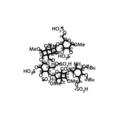 CCCCOC1C(COS(=O)(=O)O)OC(OC2C(OC)C3(CC)C(OC)C(OC4C(COS(=O)(=O)O)OC(OC5C(OC)C6(C(=O)O)[C@@H]7C(OC8C(COS(=O)(=O)O)OC(OC)C(OS(=O)(=O)O)C8OC)OC7C56CO)C(OS(=O)(=O)O)C4OS(=O)(=O)O)OC23C(=O)O)C(N)C1OCCCC